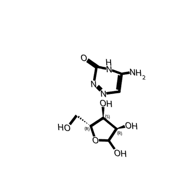 Nc1cnnc(=O)[nH]1.OC[C@H]1OC(O)[C@H](O)[C@@H]1O